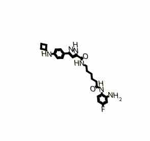 Nc1cc(F)ccc1NC(=O)CCCCCNC(=O)c1cc(-c2ccc(NC3CCC3)cc2)n[nH]1